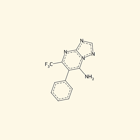 Nc1c(-c2ccccc2)c(C(F)(F)F)nc2ncnn12